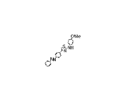 COc1ccc(Nc2nc(-c3ccc(N=Nc4ccccc4)cc3)cs2)cc1